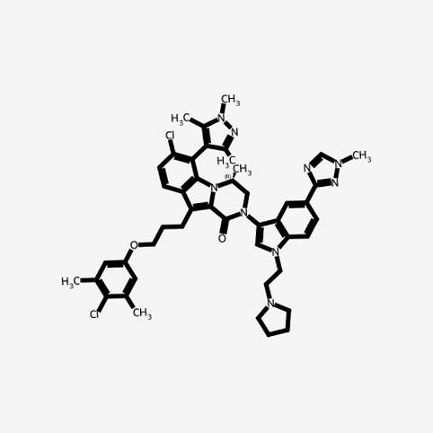 Cc1cc(OCCCc2c3n(c4c(-c5c(C)nn(C)c5C)c(Cl)ccc24)[C@H](C)CN(c2cn(CCN4CCCC4)c4ccc(-c5ncn(C)n5)cc24)C3=O)cc(C)c1Cl